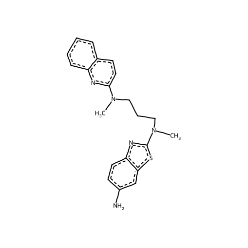 CN(CCCN(C)c1nc2ccc(N)cc2s1)c1ccc2ccccc2n1